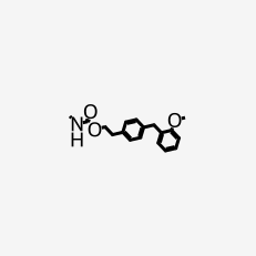 CNC(=O)OCCc1ccc(Cc2ccccc2OC)cc1